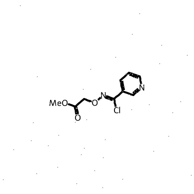 COC(=O)CO/N=C(\Cl)c1cccnc1